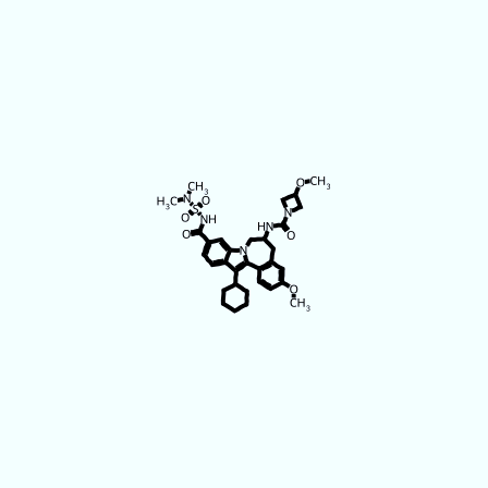 COc1ccc2c(c1)CC(NC(=O)N1CC(OC)C1)Cn1c-2c(C2CCCCC2)c2ccc(C(=O)NS(=O)(=O)N(C)C)cc21